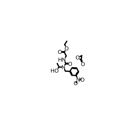 CCOC(=O)CNC(=O)N(Cc1cccc([N+](=O)[O-])c1)C(C)O.O=C1CO1